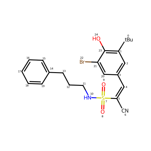 CC(C)(C)c1cc(/C=C(/C#N)S(=O)(=O)NCCCc2ccccc2)cc(Br)c1O